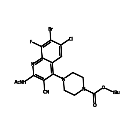 CC(=O)Nc1nc2c(F)c(Br)c(Cl)cc2c(N2CCN(C(=O)OC(C)(C)C)CC2)c1C#N